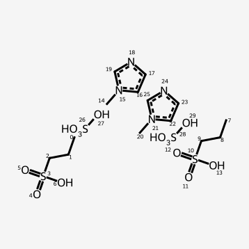 CCCS(=O)(=O)O.CCCS(=O)(=O)O.Cn1ccnc1.Cn1ccnc1.O=S(=O)(O)O.O=S(=O)(O)O